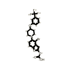 O=C(O)Oc1cc2c(Br)c(N3CCC(Oc4cccc(C(F)(F)F)c4)CC3)ccc2o1